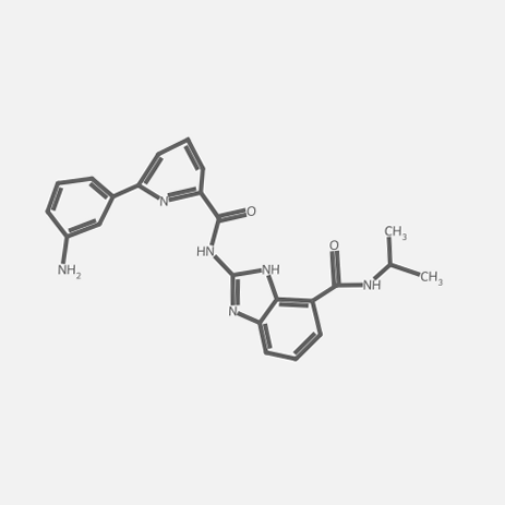 CC(C)NC(=O)c1cccc2nc(NC(=O)c3cccc(-c4cccc(N)c4)n3)[nH]c12